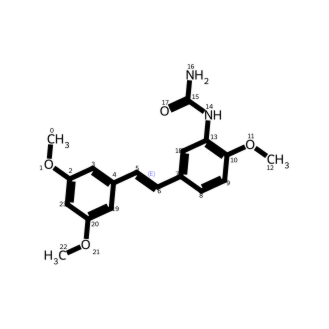 COc1cc(/C=C/c2ccc(OC)c(NC(N)=O)c2)cc(OC)c1